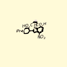 CC(C)N1CCC(c2cc3c([N+](=O)[O-])cccc3[nH]2)CC1.O=C(O)/C=C\C(=O)O